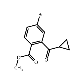 COC(=O)c1ccc(Br)cc1C(=O)C1CC1